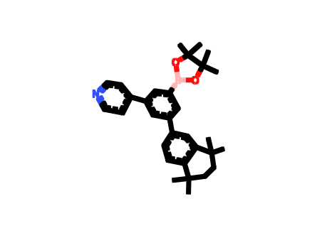 CC1(C)CCC(C)(C)c2cc(-c3cc(B4OC(C)(C)C(C)(C)O4)cc(-c4ccncc4)c3)ccc21